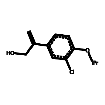 C=C(CO)c1ccc(OC(C)C)c(Cl)c1